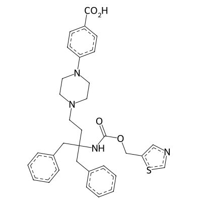 O=C(NC(CCN1CCN(c2ccc(C(=O)O)cc2)CC1)(Cc1ccccc1)Cc1ccccc1)OCc1cncs1